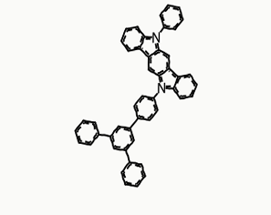 c1ccc(-c2cc(-c3ccccc3)cc(-c3ccc(-n4c5ccccc5c5cc6c(cc54)c4ccccc4n6-c4ccccc4)cc3)c2)cc1